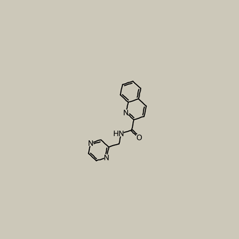 O=C(NCc1cnccn1)c1ccc2ccccc2n1